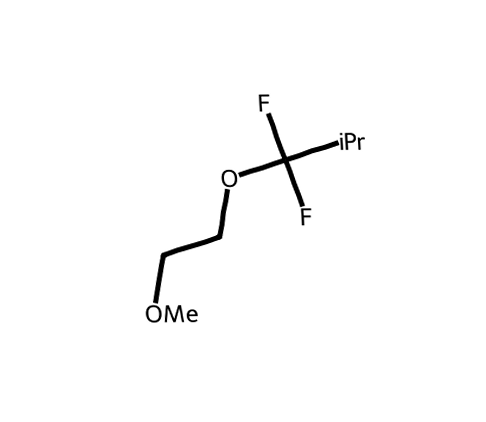 COCCOC(F)(F)C(C)C